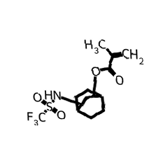 C=C(C)C(=O)OC1CC(NS(=O)(=O)C(F)(F)F)C2CCC1CC2